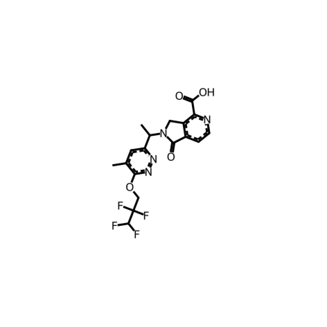 Cc1cc(C(C)N2Cc3c(ccnc3C(=O)O)C2=O)nnc1OCC(F)(F)C(F)F